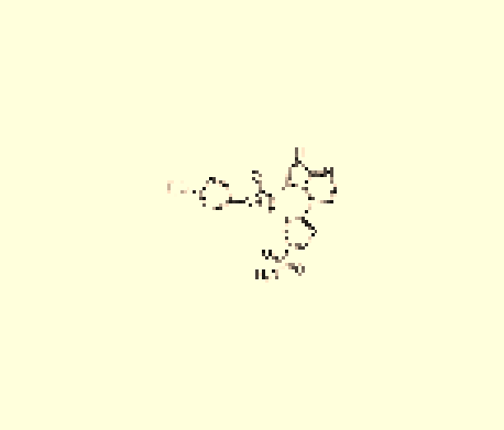 NS(=O)(=O)c1ccc(-c2ccnc3[nH]cc(NC(=O)Nc4ccc(C(F)(F)F)cc4)c23)cc1